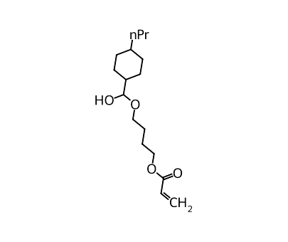 C=CC(=O)OCCCCOC(O)C1CCC(CCC)CC1